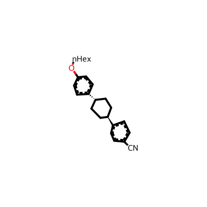 CCCCCCOc1ccc([C@H]2CC[C@H](c3ccc(C#N)cc3)CC2)cc1